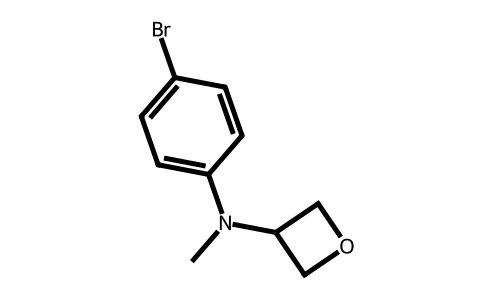 CN(c1ccc(Br)cc1)C1COC1